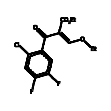 CCOC=C(C(=O)OCC)C(=O)c1cc(F)c(F)cc1Cl